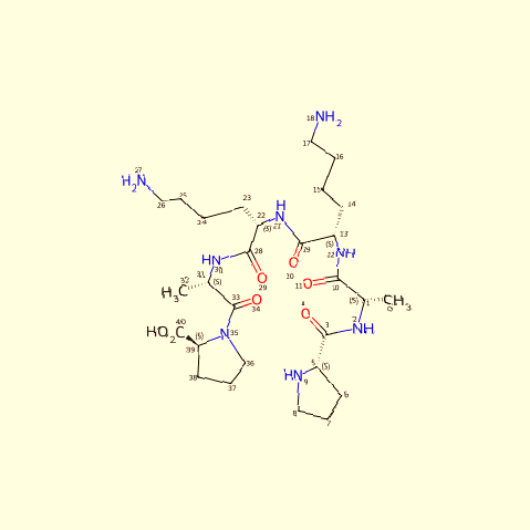 C[C@H](NC(=O)[C@@H]1CCCN1)C(=O)N[C@@H](CCCCN)C(=O)N[C@@H](CCCCN)C(=O)N[C@@H](C)C(=O)N1CCC[C@H]1C(=O)O